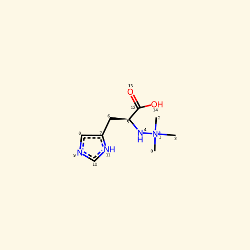 C[N+](C)(C)N[C@@H](Cc1cnc[nH]1)C(=O)O